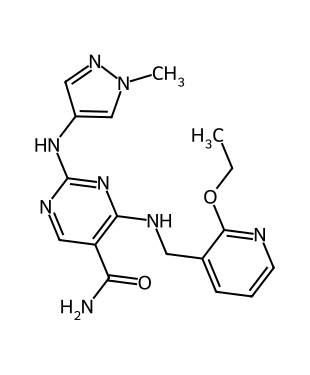 CCOc1ncccc1CNc1nc(Nc2cnn(C)c2)ncc1C(N)=O